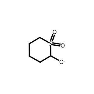 [O]C1CCCCS1(=O)=O